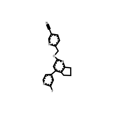 N#Cc1ccc(COc2cc(-c3ccnc(F)c3)c3c(n2)CCC3)nc1